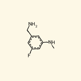 CNc1cc(F)cc(CN)c1